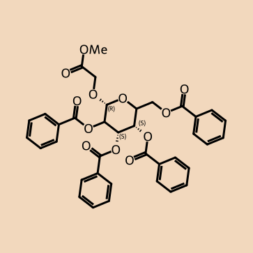 COC(=O)CO[C@@H]1OC(COC(=O)c2ccccc2)[C@H](OC(=O)c2ccccc2)[C@H](OC(=O)c2ccccc2)C1OC(=O)c1ccccc1